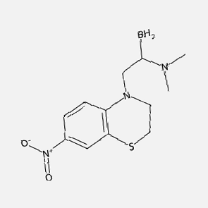 BC(CN1CCSc2cc([N+](=O)[O-])ccc21)N(C)C